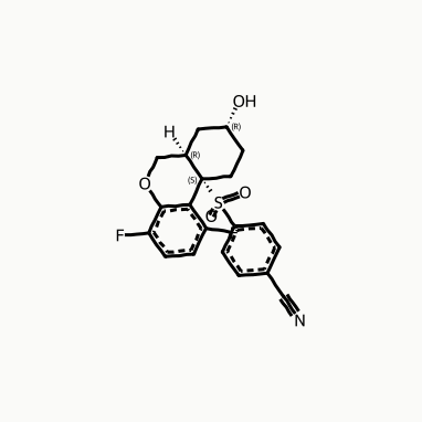 N#Cc1ccc(S(=O)(=O)[C@@]23CC[C@@H](O)C[C@@H]2COc2c(F)ccc(F)c23)cc1